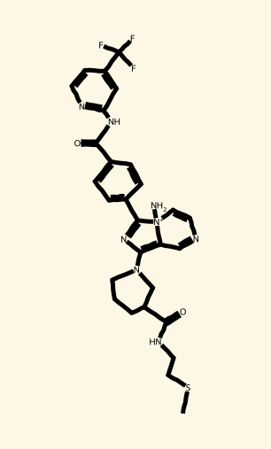 CSCCNC(=O)C1CCCN(C2=C3C=NC=C[N+]3(N)C(c3ccc(C(=O)Nc4cc(C(F)(F)F)ccn4)cc3)=N2)C1